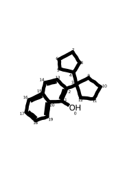 Oc1c(C2(C3CCCC3)CCCC2)ccc2ccccc12